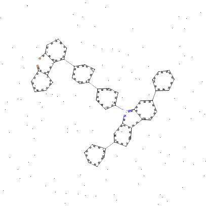 c1ccc(-c2ccc3c4ccc(-c5ccccc5)cc4n(-c4ccc(-c5ccc(-c6cccc7sc8ccccc8c67)cc5)cc4)c3c2)cc1